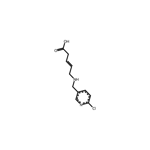 O=C(O)CC=CCNCc1ccc(Cl)nc1